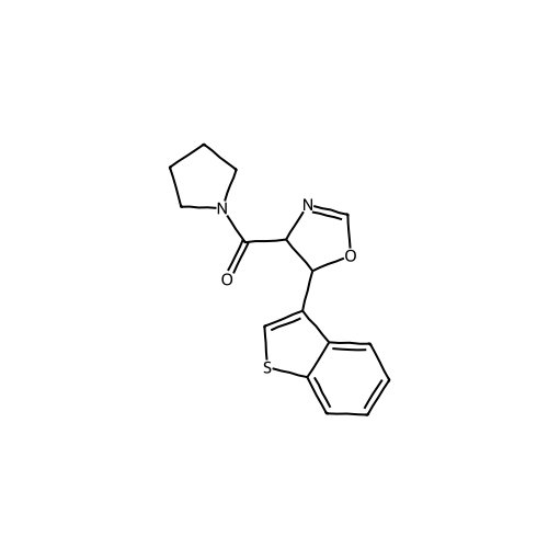 O=C(C1N=COC1c1csc2ccccc12)N1CCCC1